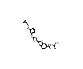 CC(NC(=O)C(F)(F)F)c1ccc2nc(N3CC(Oc4cccc(OCC5CC5)c4)C3)oc2c1